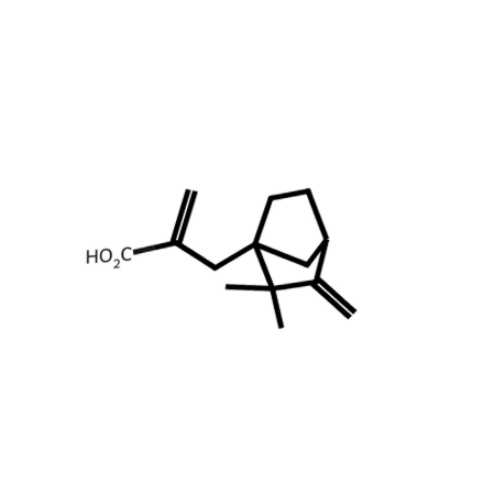 C=C(CC12CCC(C1)C(=C)C2(C)C)C(=O)O